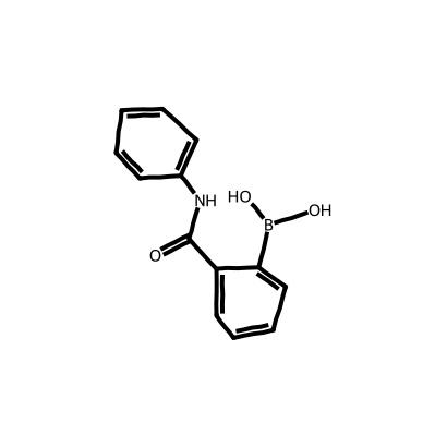 O=C(Nc1ccccc1)c1ccccc1B(O)O